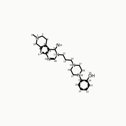 CN1CCc2c(sc3c2C([N])N(CCCN2CCN(c4ccccc4O)CC2)C=N3)C1